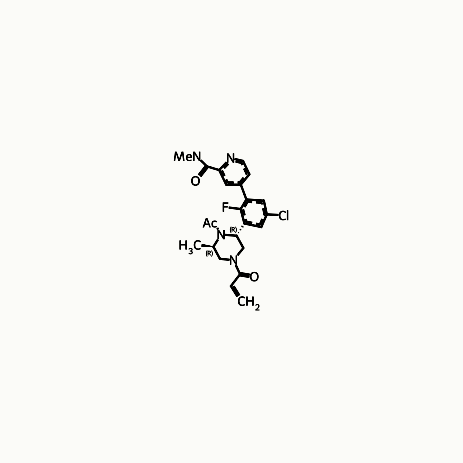 C=CC(=O)N1C[C@@H](C)N(C(C)=O)[C@H](c2cc(Cl)cc(-c3ccnc(C(=O)NC)c3)c2F)C1